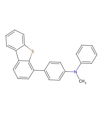 CN(c1ccccc1)c1ccc(-c2cccc3c2sc2ccccc23)cc1